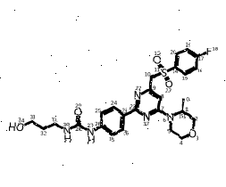 C[C@H]1COCCN1c1cc(CS(=O)(=O)c2ccc(F)cc2)nc(-c2ccc(NC(=O)NCCCO)cc2)n1